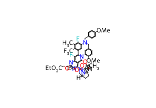 CCOC(=O)COc1nc2c3c(nc(-c4cc(N(Cc5ccc(OC)cc5)Cc5ccc(OC)cc5)c(F)c(C)c4C(F)(F)F)c(F)c3n1)O[C@@H](C)[C@@H]1[C@@H]3CC[C@H](CN21)N3C(=O)OC(C)(C)C